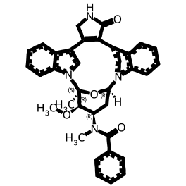 CO[C@@H]1[C@H](N(C)C(=O)c2ccccc2)C[C@H]2O[C@]1(C)n1cc(c3ccccc31)C1=C(C(=O)NC1)c1cn2c2ccccc12